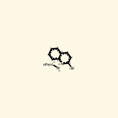 Brc1ccc2ccccc2n1.CCCCCBr